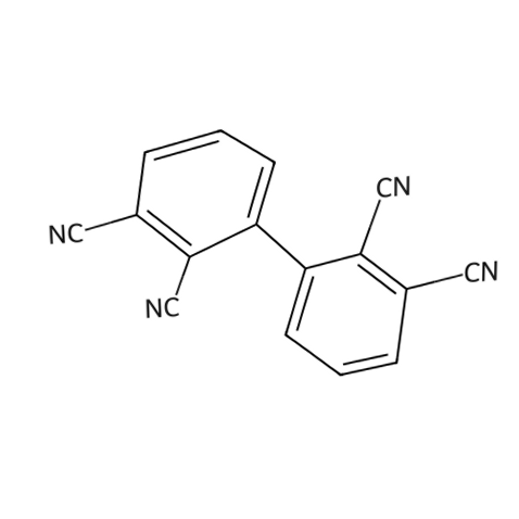 N#Cc1cccc(-c2cccc(C#N)c2C#N)c1C#N